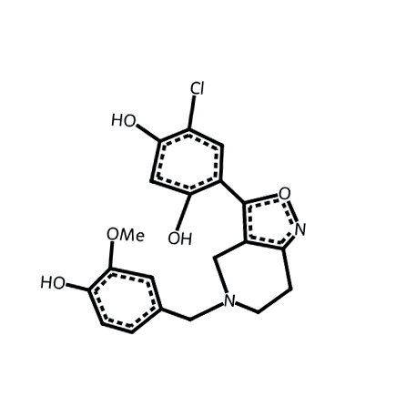 COc1cc(CN2CCc3noc(-c4cc(Cl)c(O)cc4O)c3C2)ccc1O